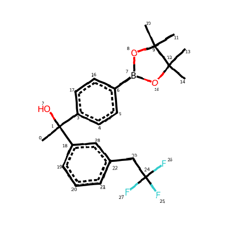 CC(O)(c1ccc(B2OC(C)(C)C(C)(C)O2)cc1)c1cccc(CC(F)(F)F)c1